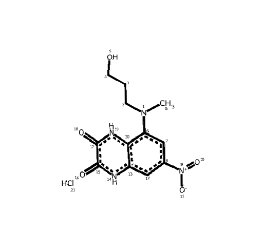 CN(CCCO)c1cc([N+](=O)[O-])cc2[nH]c(=O)c(=O)[nH]c12.Cl